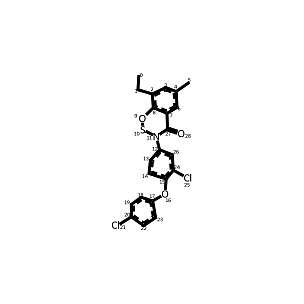 CCc1cc(C)cc2c1OSN(c1ccc(Oc3ccc(Cl)cc3)c(Cl)c1)C2=O